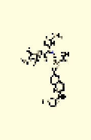 CON1C(=O)[C@@H](NC(=O)/C(=N\O[C@@H](COc2ccc3nc(N[C@H]4CCNC4)ccc3c2)C(=O)O)c2csc(N)n2)C1(C)C